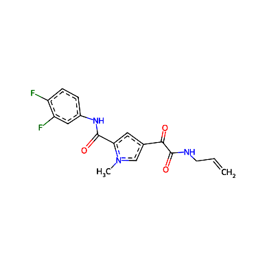 C=CCNC(=O)C(=O)c1cc(C(=O)Nc2ccc(F)c(F)c2)n(C)c1